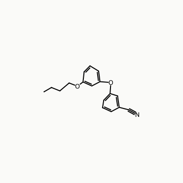 CCCCOc1cccc(Oc2cccc(C#N)c2)c1